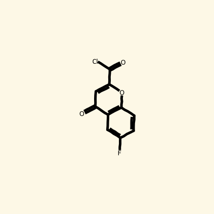 O=C(Cl)c1cc(=O)c2cc(F)ccc2o1